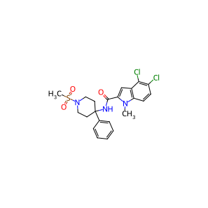 Cn1c(C(=O)NC2(c3ccccc3)CCN(S(C)(=O)=O)CC2)cc2c(Cl)c(Cl)ccc21